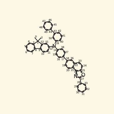 CC1(C)c2ccccc2-c2ccc(N(c3ccc(-c4ccc5c(ccc6oc(-c7ccccc7)nc65)c4)cc3)c3cccc(-c4ccccc4)c3)cc21